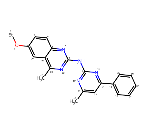 CCOc1ccc2nc(Nc3nc(C)cc(-c4ccccc4)n3)nc(C)c2c1